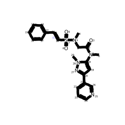 CN(C(=O)CN(C)S(=O)(=O)/C=C/c1ccccc1)c1cc(-c2cccnc2)nn1C